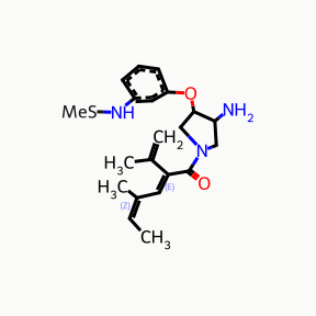 C=C(C)/C(=C\C(C)=C/C)C(=O)N1CC(N)C(Oc2cccc(NSC)c2)C1